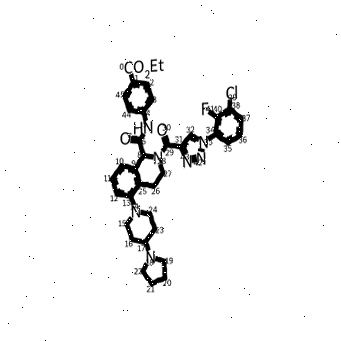 CCOC(=O)c1ccc(NC(=O)C2c3cccc(N4CCC(N5CCCC5)CC4)c3CCN2C(=O)c2cn(-c3cccc(Cl)c3F)nn2)cc1